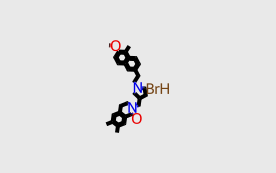 Br.COc1ccc2cc(CCN3CCC(CN4CCc5cc(C)c(C)cc5C4=O)C3)ccc2c1C